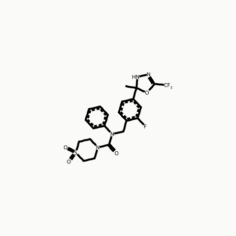 CC1(c2ccc(CN(C(=O)N3CCS(=O)(=O)CC3)c3ccccc3)c(F)c2)NN=C(C(F)(F)F)O1